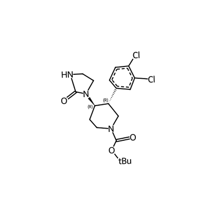 CC(C)(C)OC(=O)N1CC[C@@H](N2CCNC2=O)[C@H](c2ccc(Cl)c(Cl)c2)C1